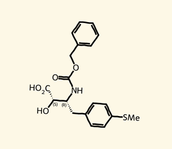 CSc1ccc(C[C@@H](NC(=O)OCc2ccccc2)[C@H](O)C(=O)O)cc1